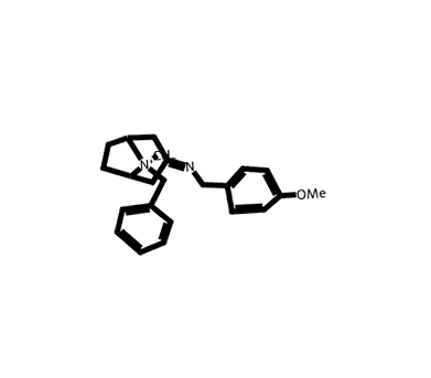 COc1ccc(CN=C2CC3CCC(C2)[N+]3(C)Cc2ccccc2)cc1